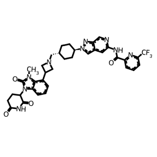 Cn1c(=O)n(C2CCC(=O)NC2=O)c2cccc(C3CN(C[C@H]4CC[C@H](n5cc6cc(NC(=O)c7cccc(C(F)(F)F)n7)ncc6n5)CC4)C3)c21